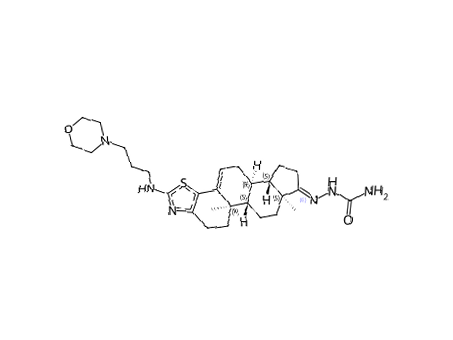 C[C@]12CCc3nc(NCCCN4CCOCC4)sc3C1=CC[C@@H]1[C@@H]2CC[C@]2(C)/C(=N/NC(N)=O)CC[C@@H]12